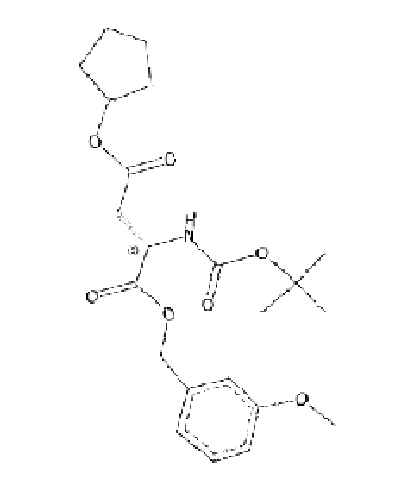 COc1cccc(COC(=O)[C@H](CC(=O)OC2CCCC2)NC(=O)OC(C)(C)C)c1